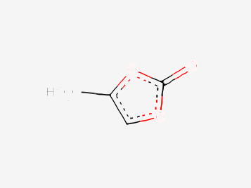 O=C(O)c1coc(=O)o1